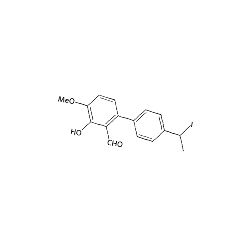 COc1ccc(-c2ccc(C(C)I)cc2)c(C=O)c1O